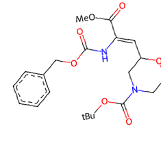 COC(=O)/C(=C/C1CN(C(=O)OC(C)(C)C)CCO1)NC(=O)OCc1ccccc1